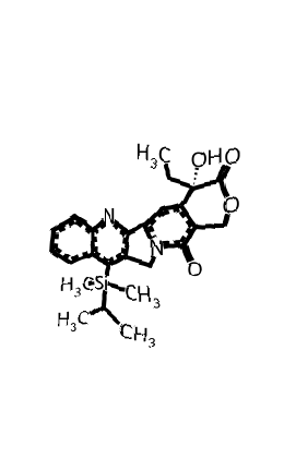 CC[C@@]1(O)C(=O)OCc2c1cc1n(c2=O)Cc2c-1nc1ccccc1c2[Si](C)(C)C(C)C